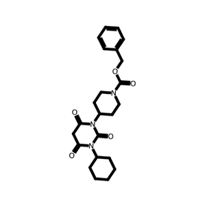 O=C(OCc1ccccc1)N1CCC(N2C(=O)CC(=O)N(C3CCCCC3)C2=O)CC1